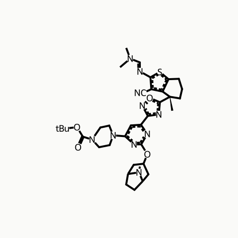 CN(C)/C=N/c1sc2c(c1C#N)[C@@](C)(c1nc(-c3cc(N4CCN(C(=O)OC(C)(C)C)CC4)nc(OC4CC5CCC(C4)N5C)n3)no1)CCC2